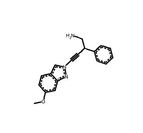 COc1ccc2cn(C#CC(CN)c3ccccc3)nc2c1